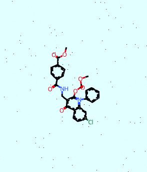 COC(=O)Oc1c(CNC(=O)c2ccc(C(=O)OC)cc2)c(=O)c2ccc(Cl)cc2n1-c1ccccc1